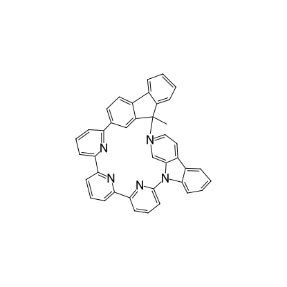 CC1(C)c2ccccc2-c2ccc(-c3cccc(-c4cccc(-c5cccc(-n6c7ccccc7c7ccncc76)n5)n4)n3)cc21